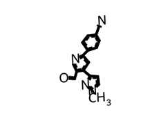 Cn1ccc(-c2cc(-c3ccc(C#N)cc3)ncc2C=O)n1